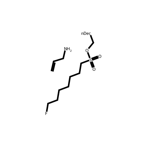 C=CCN.CCCCCCCCCCCOS(=O)(=O)CCCCCCCF